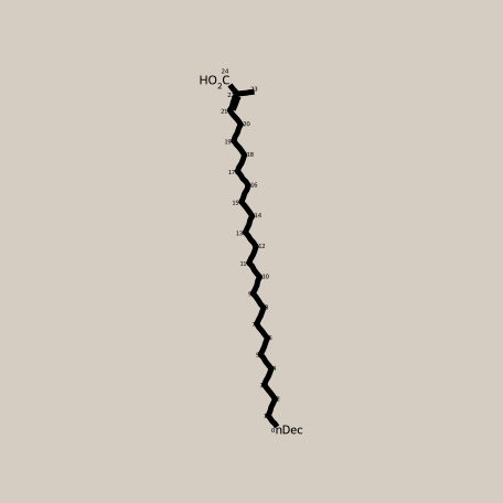 CCCCCCCCCCCCCCCCCCCCCCCCCCCCCCC=C(C)C(=O)O